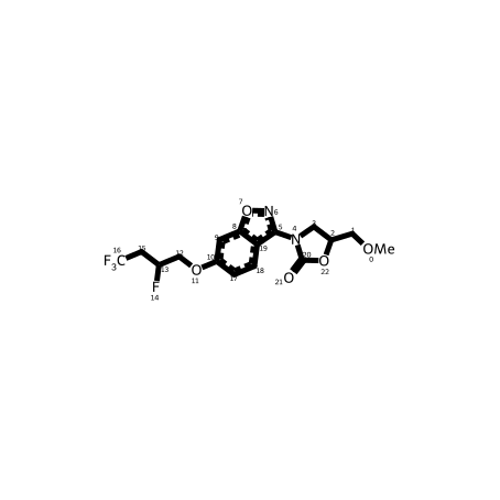 COCC1CN(c2noc3cc(OCC(F)CC(F)(F)F)ccc23)C(=O)O1